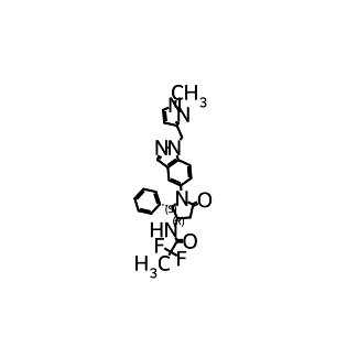 Cn1ccc(Cn2ncc3cc(N4C(=O)C[C@@H](NC(=O)C(C)(F)F)[C@@H]4c4ccccc4)ccc32)n1